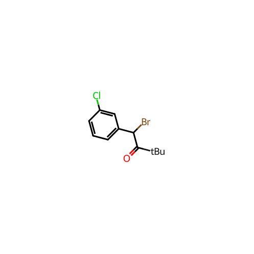 CC(C)(C)C(=O)C(Br)c1cccc(Cl)c1